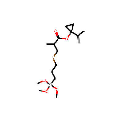 CO[Si](CCCSCC(C)C(=O)OC1(C(C)C)CC1)(OC)OC